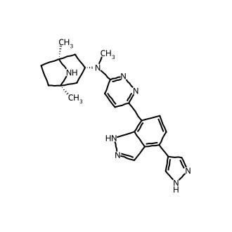 CN(c1ccc(-c2ccc(-c3cn[nH]c3)c3cn[nH]c23)nn1)[C@H]1C[C@]2(C)CC[C@](C)(C1)N2